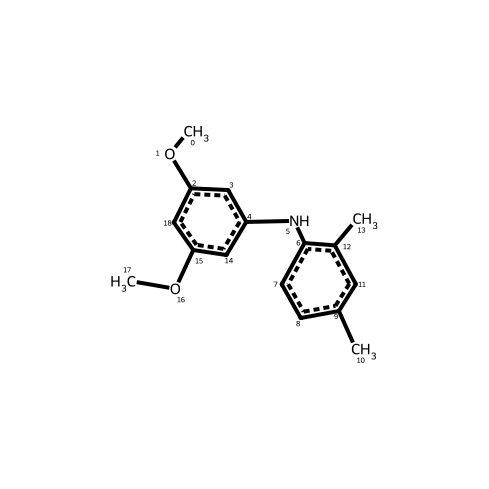 COc1cc(Nc2ccc(C)cc2C)cc(OC)c1